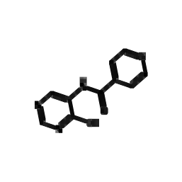 O=C(Nc1cncnc1O)c1ccncc1